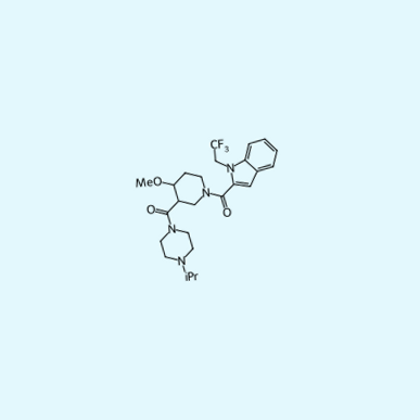 COC1CCN(C(=O)c2cc3ccccc3n2CC(F)(F)F)CC1C(=O)N1CCN(C(C)C)CC1